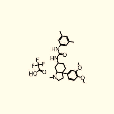 COc1ccc(C23CCC(NC(=O)Nc4cc(C)cc(C)c4)CC2N(C)CC3)cc1OC.O=C(O)C(F)(F)F